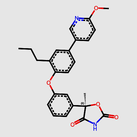 CCCc1cc(-c2ccc(OC)nc2)ccc1Oc1cccc([C@@]2(C)OC(=O)NC2=O)c1